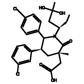 CC[C@@H](CC(C)(O)O)N1C(=O)[C@@](C)(CC(=O)O)C[C@H](c2cccc(Cl)c2)C1c1ccc(Cl)cc1